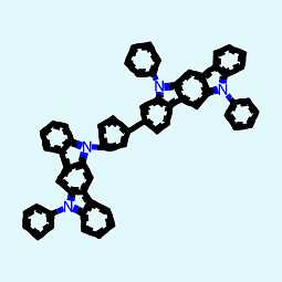 c1ccc(-n2c3ccccc3c3cc4c(cc32)c2ccccc2n4-c2ccc(-c3ccc4c5cc6c(cc5n(-c5ccccc5)c4c3)c3ccccc3n6-c3ccccc3)cc2)cc1